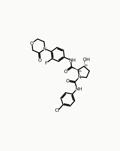 O=C(Nc1ccc(N2CCOCC2=O)c(F)c1)[C@H]1[C@H](O)CCN1C(=O)Nc1ccc(Cl)cc1